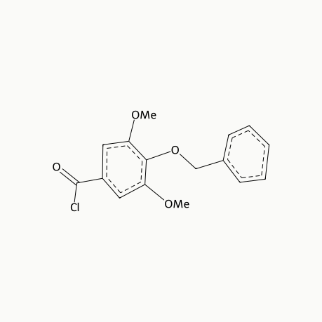 COc1cc(C(=O)Cl)cc(OC)c1OCc1ccccc1